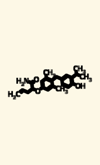 C=CCC(Oc1cc(C)c(Cc2ccc(O)c(C(C)C)c2)c(C)c1)C(N)=O